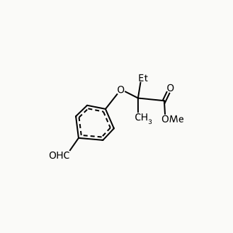 CCC(C)(Oc1ccc(C=O)cc1)C(=O)OC